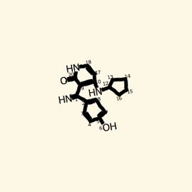 N=C(c1ccc(O)cc1)c1c(NC2CCCC2)cc[nH]c1=O